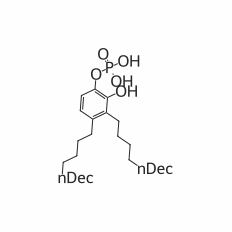 CCCCCCCCCCCCCCc1ccc(OP(=O)(O)O)c(O)c1CCCCCCCCCCCCCC